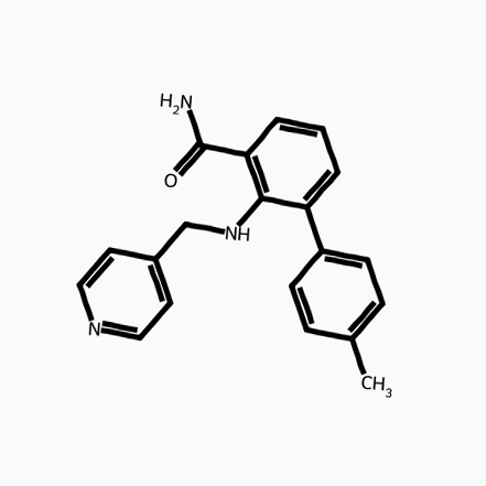 Cc1ccc(-c2cccc(C(N)=O)c2NCc2ccncc2)cc1